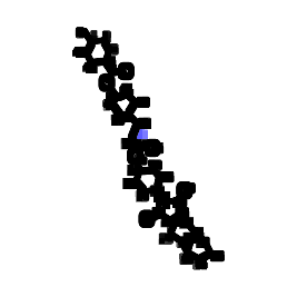 Cc1ccc(C(=O)Oc2ccc(/C=C/C(=O)Oc3ccc(N4C(=O)C5C6CC(C5C4=O)C4C5C=CC(C5)C64)cc3)cc2)cc1